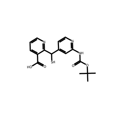 CC(C)(C)OC(=O)Nc1cc(C(S)c2ncccc2C(=O)O)ccn1